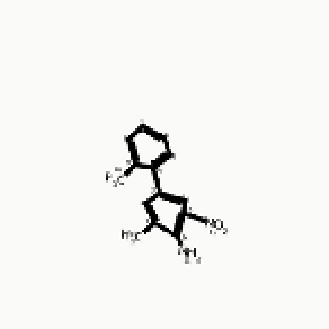 Cc1cc(-c2ccccc2C(F)(F)F)cc([N+](=O)[O-])c1N